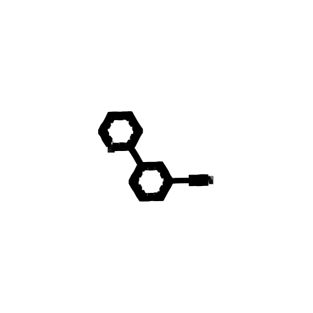 N#Cc1cccc(-c2ccccn2)c1